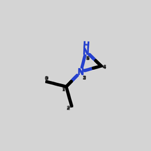 CC(C)N1CN1